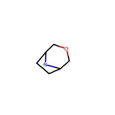 C1CC2COCC1[N]2